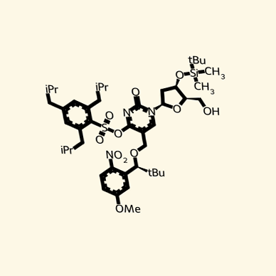 COc1ccc([N+](=O)[O-])c([C@@H](OCc2cn([C@H]3C[C@@H](O[Si](C)(C)C(C)(C)C)[C@@H](CO)O3)c(=O)nc2OS(=O)(=O)c2c(CC(C)C)cc(CC(C)C)cc2CC(C)C)C(C)(C)C)c1